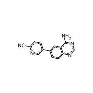 N#Cc1ccc(-c2ccc3ncnc(N)c3c2)cn1